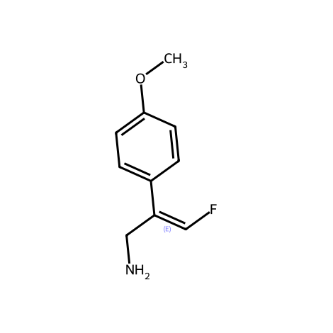 COc1ccc(/C(=C\F)CN)cc1